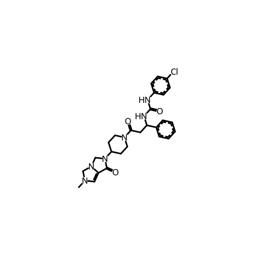 CN1C=C2C(=O)N(C3CCN(C(=O)CC(NC(=O)Nc4ccc(Cl)cc4)c4ccccc4)CC3)CN2C1